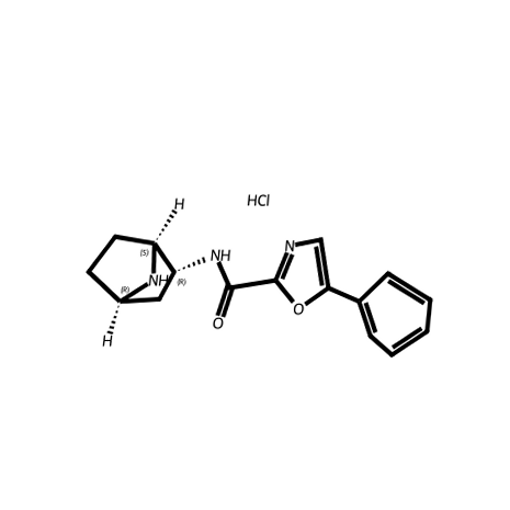 Cl.O=C(N[C@@H]1C[C@H]2CC[C@@H]1N2)c1ncc(-c2ccccc2)o1